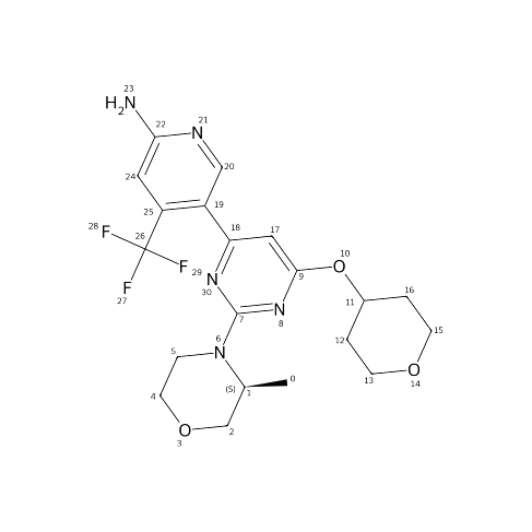 C[C@H]1COCCN1c1nc(OC2CCOCC2)cc(-c2cnc(N)cc2C(F)(F)F)n1